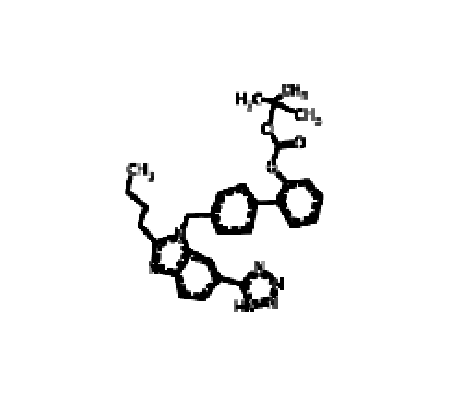 CCCCc1nc2ccc(-c3nnn[nH]3)cc2n1Cc1ccc(-c2ccccc2OC(=O)OC(C)(C)C)cc1